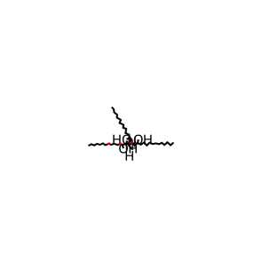 CCCCCCCCCCCCC(O)CNN(CC(O)CCCCCCCCCCCC)CC(O)CCCCCCCCCCCC